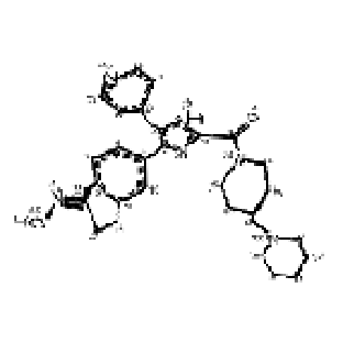 O=C(c1nc(-c2ccc3c(c2)CCC3=NO)c(-c2ccncc2)[nH]1)N1CCC(N2CCCCC2)CC1